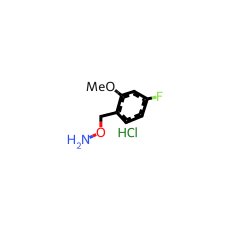 COc1cc(F)ccc1CON.Cl